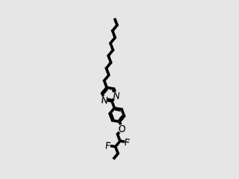 CCCCCCCCCCCc1cnc(-c2ccc(OCC(F)C(F)CC)cc2)nc1